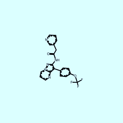 O=C(Cc1cccnc1)Nc1nn2cccnc2c1-c1ccc(OC(F)(F)F)cc1